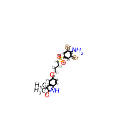 CC1(C)C(=O)Nc2ccc(OCCCCS(=O)(=O)c3cc(Br)c(N)c(Br)c3)cc21